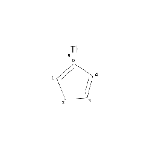 C1=CCC=C1.[Tl]